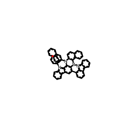 c1ccc(-n2c3ccccc3c3cc4c5c(c32)N(c2ccc3ccccc3c2)c2ccc3ccccc3c2B5n2c3ccccc3c3cccc-4c32)cc1